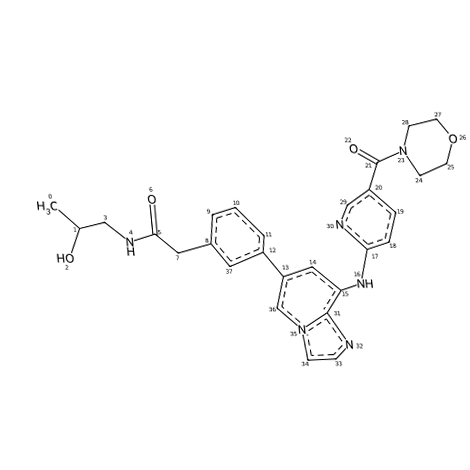 CC(O)CNC(=O)Cc1cccc(-c2cc(Nc3ccc(C(=O)N4CCOCC4)cn3)c3nccn3c2)c1